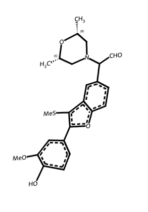 COc1cc(-c2oc3ccc(C(C=O)N4C[C@@H](C)O[C@@H](C)C4)cc3c2SC)ccc1O